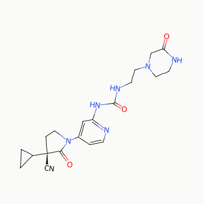 N#C[C@@]1(C2CC2)CCN(c2ccnc(NC(=O)NCCN3CCNC(=O)C3)c2)C1=O